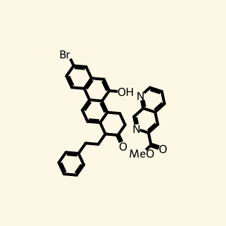 COC(=O)c1cc2cccnc2cn1.O=C1CCc2c(ccc3c2c(O)cc2cc(Br)ccc23)C1CCc1ccccc1